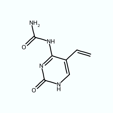 C=Cc1c[nH]c(=O)nc1NC(N)=O